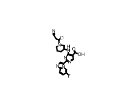 N#CCC(=O)N1CCCC(Nc2nc(-c3cnc4ccc(F)cn34)ncc2C(=O)O)C1